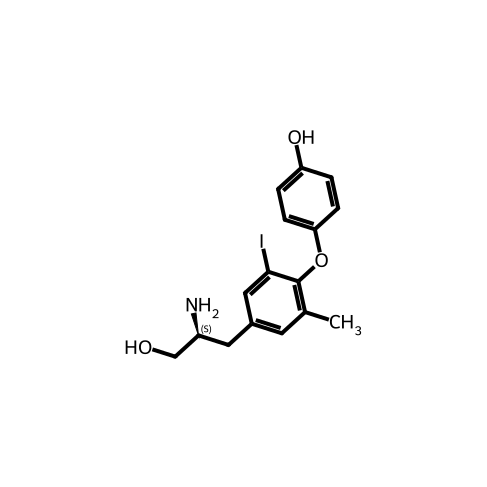 Cc1cc(C[C@H](N)CO)cc(I)c1Oc1ccc(O)cc1